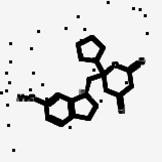 COc1ccc2c(c1)[C@@H](CC1(C3CCCC3)CC(=O)CC(=O)O1)CC2